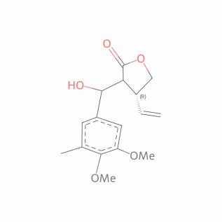 C=C[C@H]1COC(=O)C1C(O)c1cc(C)c(OC)c(OC)c1